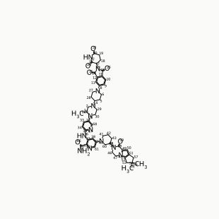 C[C@H]1CN(C2CCN(c3ccc4c(c3)C(=O)N(C3CCC(=O)NC3=O)C4=O)CC2)CCN1c1ccc(Nc2cc(N3CCC[C@@H](N4CCn5c(cc6c5CC(C)(C)C6)C4=O)C3)cnc2C(N)=O)nc1